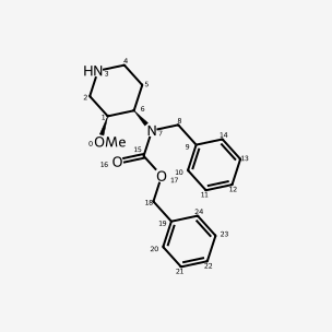 CO[C@H]1CNCC[C@H]1N(Cc1ccccc1)C(=O)OCc1ccccc1